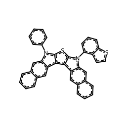 c1ccc(-n2c3cc4ccccc4cc3c3c4c5cc6ccccc6cc5n(-c5cccc6sccc56)c4sc32)cc1